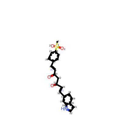 CS(=O)(=O)c1ccc(/C=C/C(=O)CC(=O)/C=C/c2ccc3cc[nH]c3c2)cc1